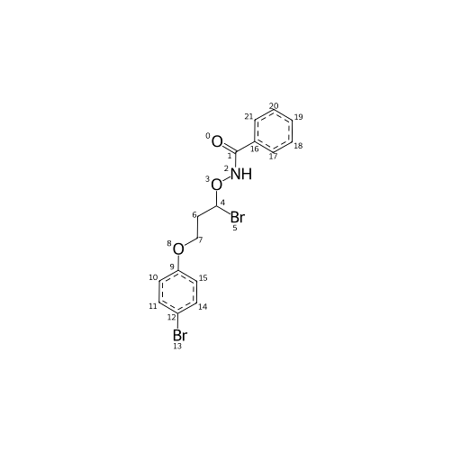 O=C(NOC(Br)CCOc1ccc(Br)cc1)c1ccccc1